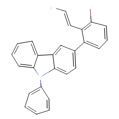 CC/C=C/c1c(Br)cccc1-c1ccc2c(c1)c1ccccc1n2-c1ccccc1